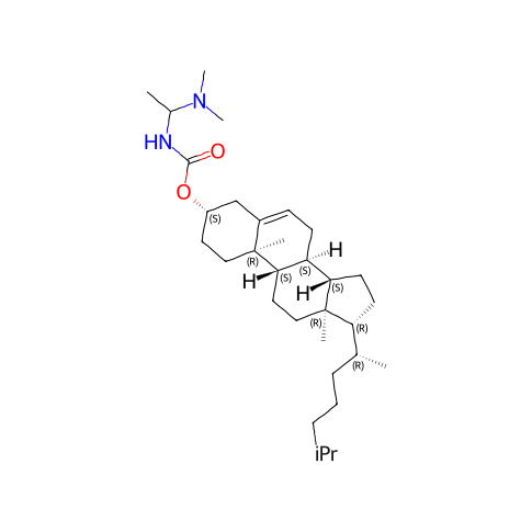 CC(C)CCC[C@@H](C)[C@H]1CC[C@H]2[C@@H]3CC=C4C[C@@H](OC(=O)NC(C)N(C)C)CC[C@]4(C)[C@H]3CC[C@]12C